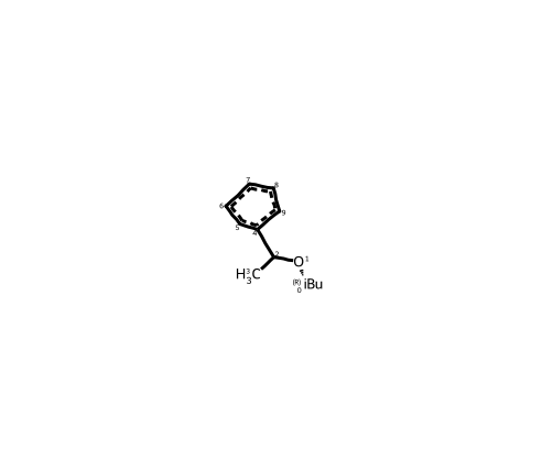 CC[C@@H](C)OC(C)c1ccccc1